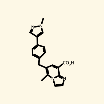 Cc1c(Cc2ccc(-c3cnn(C)c3)cc2)cc(C(=O)O)c2nccn12